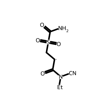 CCN(C#N)C(=O)[CH]CS(=O)(=O)C(N)=O